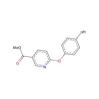 CCCc1ccc(Oc2ccc(C(=O)OC)cn2)cc1